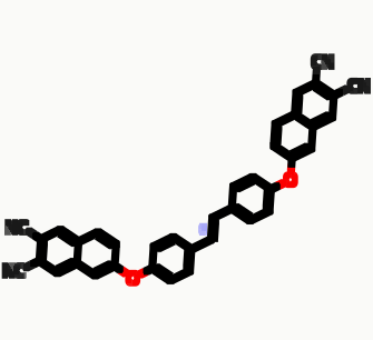 N#Cc1cc2ccc(Oc3ccc(/C=C/c4ccc(Oc5ccc6cc(C#N)c(C#N)cc6c5)cc4)cc3)cc2cc1C#N